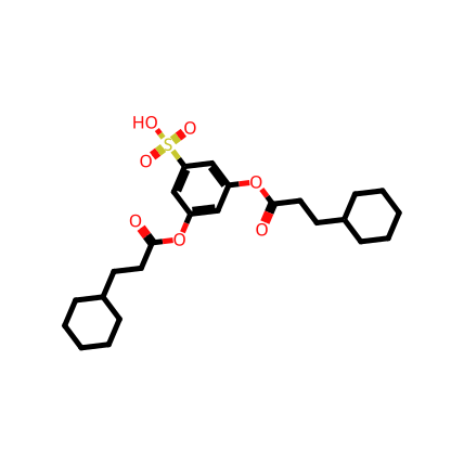 O=C(CCC1CCCCC1)Oc1cc(OC(=O)CCC2CCCCC2)cc(S(=O)(=O)O)c1